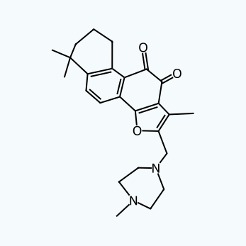 Cc1c(CN2CCN(C)CC2)oc2c1C(=O)C(=O)c1c-2ccc2c1CCCC2(C)C